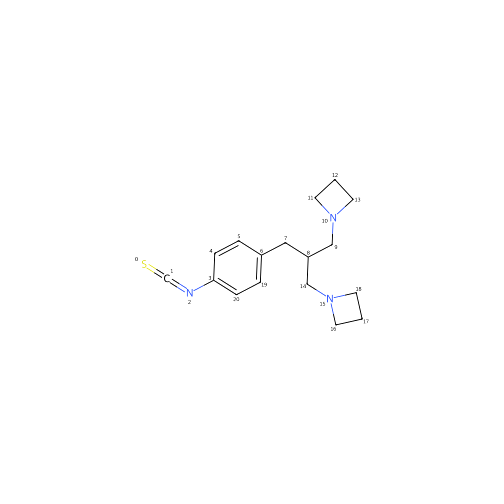 S=C=Nc1ccc(CC(CN2CCC2)CN2CCC2)cc1